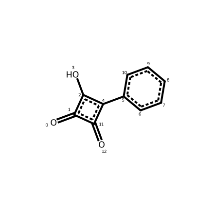 O=c1c(O)c(-c2ccccc2)c1=O